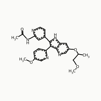 COCC(C)Oc1cnc2c(-c3ccc(OC)cn3)c(-c3ccnc(NC(C)=O)c3)[nH]c2c1